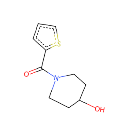 O=C(c1cccs1)N1CCC(O)CC1